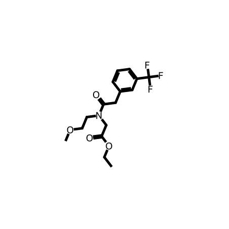 CCOC(=O)CN(CCOC)C(=O)Cc1cccc(C(F)(F)F)c1